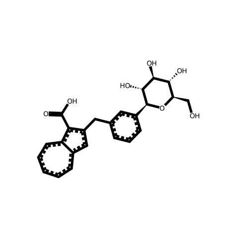 O=C(O)c1c(Cc2cccc([C@@H]3O[C@H](CO)[C@@H](O)[C@H](O)[C@H]3O)c2)cc2cccccc1-2